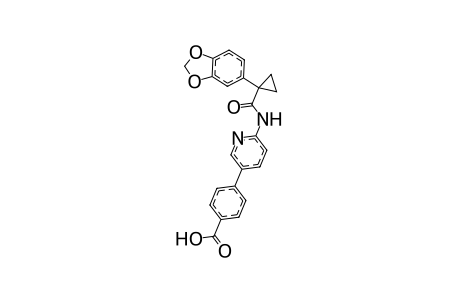 O=C(O)c1ccc(-c2ccc(NC(=O)C3(c4ccc5c(c4)OCO5)CC3)nc2)cc1